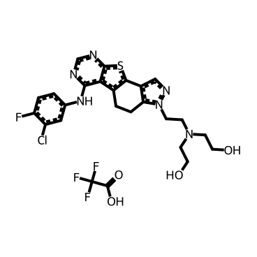 O=C(O)C(F)(F)F.OCCN(CCO)CCn1ncc2c1CCc1c-2sc2ncnc(Nc3ccc(F)c(Cl)c3)c12